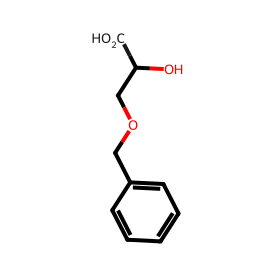 O=C(O)C(O)COCc1ccccc1